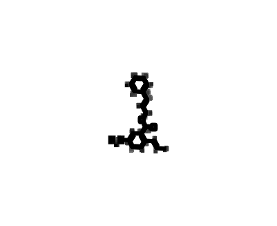 [CH2]/C=C/c1ccc(N)cc1C(=O)OC/C=C/c1ccccc1